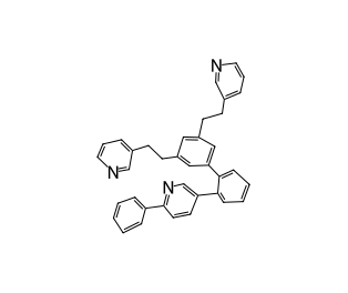 c1ccc(-c2ccc(-c3ccccc3-c3cc(CCc4cccnc4)cc(CCc4cccnc4)c3)cn2)cc1